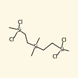 C[Si](Cl)(Cl)CC[Si](C)(C)CC[Si](C)(Cl)Cl